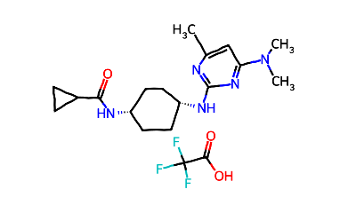 Cc1cc(N(C)C)nc(N[C@H]2CC[C@@H](NC(=O)C3CC3)CC2)n1.O=C(O)C(F)(F)F